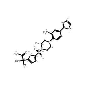 C[C@@H]1CN(c2ccc(-c3nnc[nH]3)cc2C(F)(F)F)CCN1S(=O)(=O)c1ccc(C(O)(C(N)=O)C(F)(F)F)s1